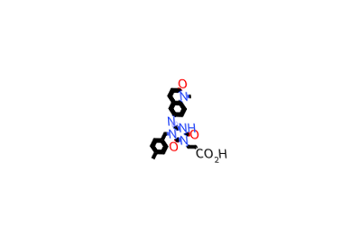 Cc1ccc(Cn2c(=O)n(CCC(=O)O)c(=O)[nH]/c2=N\c2ccc3c(ccc(=O)n3C)c2)cc1